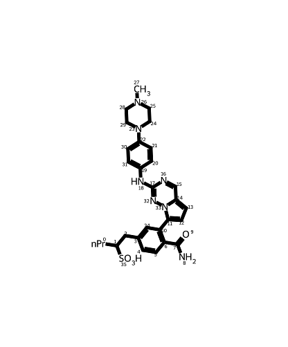 CCCC(Cc1ccc(C(N)=O)c(-c2ccc3cnc(Nc4ccc(N5CCN(C)CC5)cc4)nn23)c1)S(=O)(=O)O